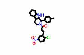 Cc1ccc(C2c3[nH]c4ccccc4c3CCN2C(=O)/C=C/c2cc([N+](=O)[O-])ccc2Cl)cc1